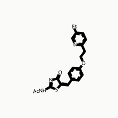 CCc1ccc(CCOc2ccc(C=C3SC(NC(C)=O)=NC3=O)cc2)nc1